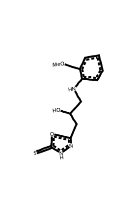 COc1ccccc1NCC(O)Cc1n[nH]c(=S)o1